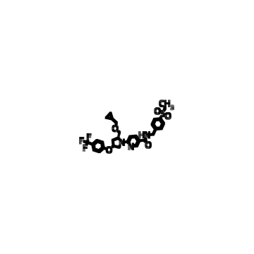 CCS(=O)(=O)c1ccc(CNC(=O)c2ccc(N3CC(Oc4ccc(C(F)(F)F)cc4)C[C@H]3COCC3CC3)nc2)cc1